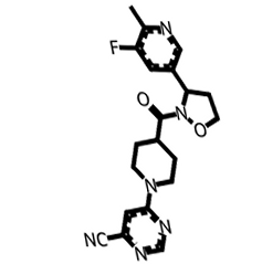 Cc1ncc(C2CCON2C(=O)C2CCN(c3cc(C#N)ncn3)CC2)cc1F